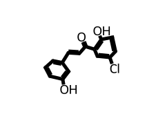 O=C(/C=C/c1cccc(O)c1)c1cc(Cl)ccc1O